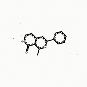 Cc1nc(-c2ccccc2)cc2cc[nH]c(=O)c12